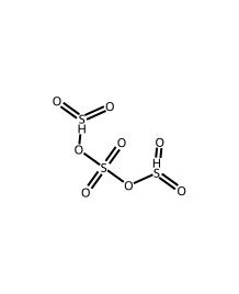 O=[SH](=O)OS(=O)(=O)O[SH](=O)=O